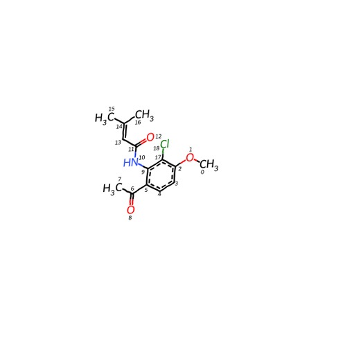 COc1ccc(C(C)=O)c(NC(=O)C=C(C)C)c1Cl